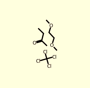 CCC(C)=O.COCCOC.ClC(Cl)(Cl)Cl